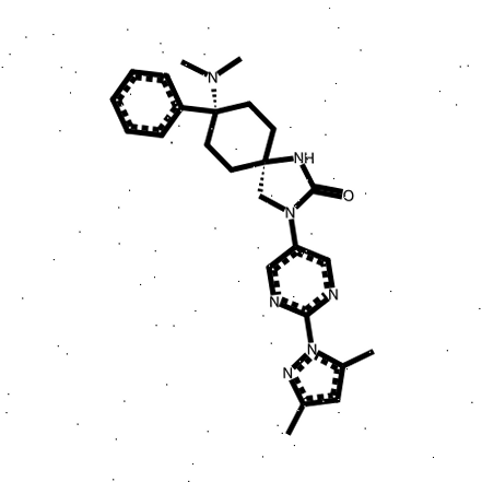 Cc1cc(C)n(-c2ncc(N3C[C@]4(CC[C@@](c5ccccc5)(N(C)C)CC4)NC3=O)cn2)n1